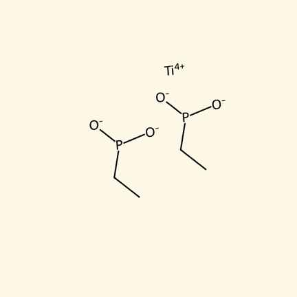 CCP([O-])[O-].CCP([O-])[O-].[Ti+4]